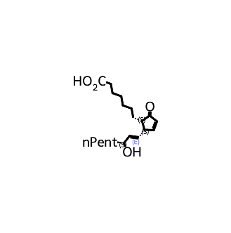 CCCCC[C@H](O)/C=C/[C@H]1C=CC(=O)[C@H]1CCCCCCC(=O)O